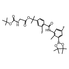 Cc1c(NC(=O)c2ccc(C(C)(C)OC(=O)CNC(=O)OC(C)(C)C)cc2F)cc(F)cc1B1OC(C)(C)C(C)(C)O1